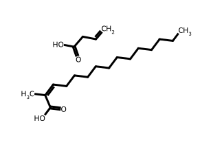 C=CCC(=O)O.CCCCCCCCCCCCC=C(C)C(=O)O